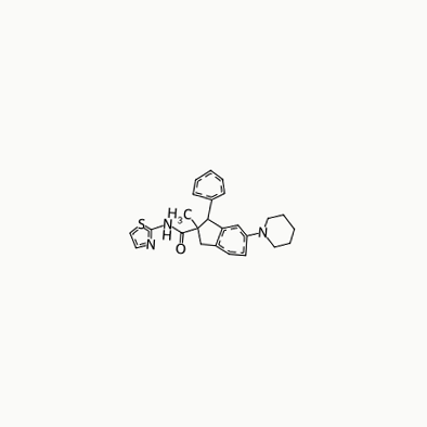 CC1(C(=O)Nc2nccs2)Cc2ccc(N3CCCCC3)cc2C1c1ccccc1